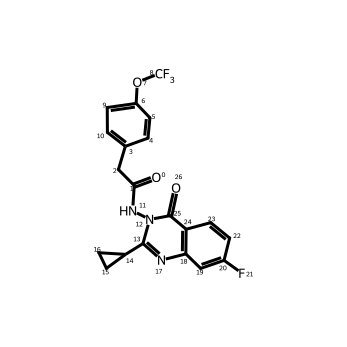 O=C(Cc1ccc(OC(F)(F)F)cc1)Nn1c(C2CC2)nc2cc(F)ccc2c1=O